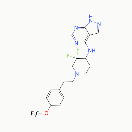 FC(F)(F)Oc1ccc(CCN2CCC(Nc3ncnc4[nH]ncc34)C(F)(F)C2)cc1